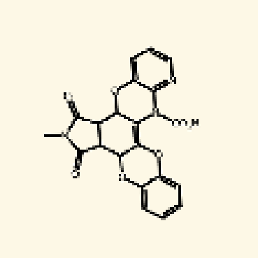 CN1C(=O)C2C3Oc4ccccc4OC3=C3C(Oc4cccnc4N3C(=O)O)C2C1=O